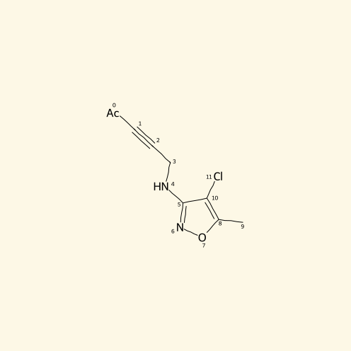 CC(=O)C#CCNc1noc(C)c1Cl